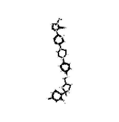 CCC(C)n1ncn(-c2ccc(N3CCN(c4ccc(OCC5COC(C)(c6ccc(Cl)cc6Cl)O5)cc4)CC3)cn2)c1=O